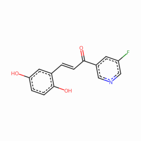 O=C(/C=C/c1cc(O)ccc1O)c1cncc(F)c1